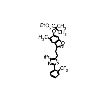 CCOC(=O)C(C)(C)Oc1cc2onc(CCc3sc(-c4ccccc4C(F)(F)F)nc3C(C)C)c2cc1C